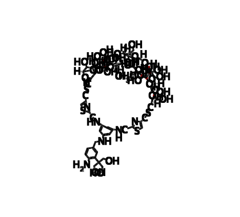 CC1C(O)[C@@H]2O[C@H]3O[C@@H]4CSCc5csc(n5)CNc5cc(NCc6ccc(N)c(C(CO)(CO)CO)c6)cc(c5)NCc5nc(cs5)CSC[C@H]5O[C@H](O[C@H]6C(O)C(O)[C@H](O[C@@H]6CO)O[C@H]6C(O)C(O)[C@@H](O[C@@H]6CO)O[C@H]6C(O)C(O)[C@H](O[C@@H]6CO)O[C@H]4C(O)C3O)C(O)C(O)[C@@H]5O[C@H]3O[C@H](CO)[C@@H](O[C@H]1O[C@@H]2CO)C(O)C3O